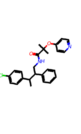 CC(c1ccc(Cl)cc1)C(CNC(=O)C(C)(C)Oc1ccncc1)c1ccccc1